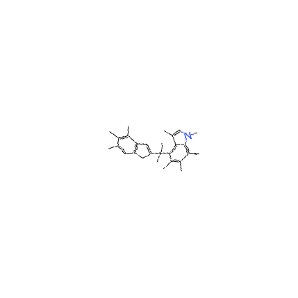 Cc1cc2c(c(C)c1C)C=C(C(C)(C)c1c(C)c(C)c(C)c3c1c(C)cn3C)C2